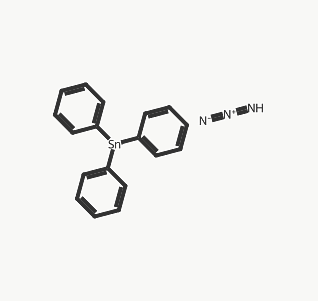 [N-]=[N+]=N.c1cc[c]([Sn]([c]2ccccc2)[c]2ccccc2)cc1